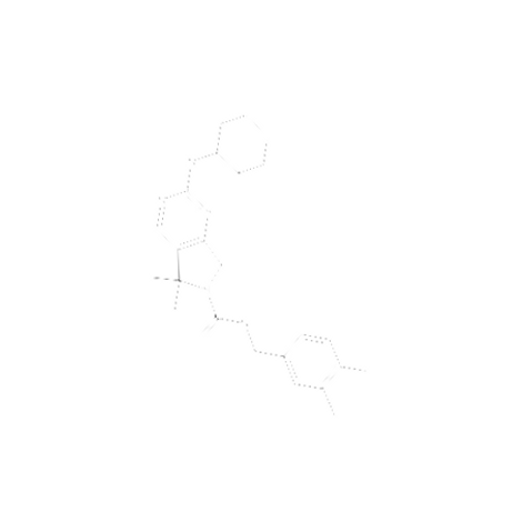 Cc1cc(CNC(=O)N2Cc3nc(NC4CCOCC4)ncc3C2(C)C)ccc1Cl